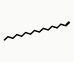 C=CC[CH]CCCCCCCCCCCC